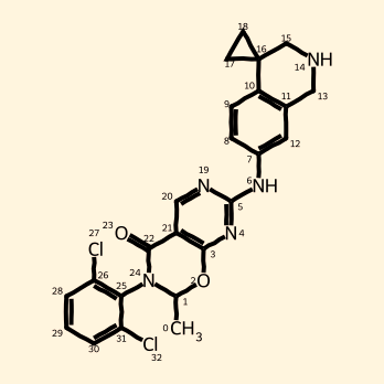 CC1Oc2nc(Nc3ccc4c(c3)CNCC43CC3)ncc2C(=O)N1c1c(Cl)cccc1Cl